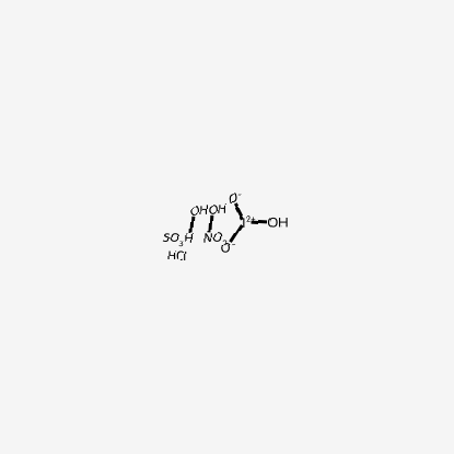 Cl.O=S(=O)(O)O.O=[N+]([O-])O.[O-][I+2]([O-])O